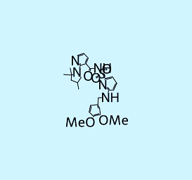 COc1ccc(CNc2cccc(S(=O)(=O)NC(=O)c3cccnc3N3CC(C)CC3(C)C)n2)cc1OC